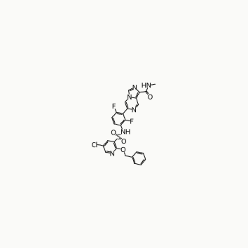 CNC(=O)c1ncn2cc(-c3c(F)ccc(NS(=O)(=O)c4cc(Cl)cnc4OCc4ccccc4)c3F)ncc12